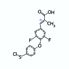 C/C(=C\c1cc(F)c(Oc2ccc(SCl)cc2)c(F)c1)C(=O)O